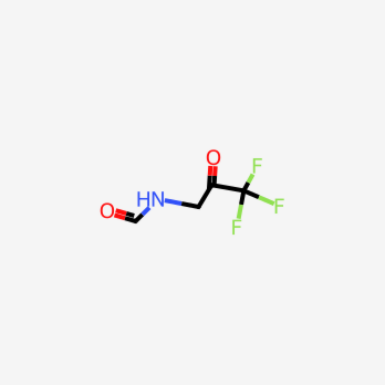 O=CNCC(=O)C(F)(F)F